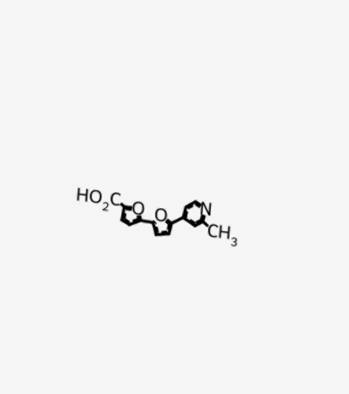 Cc1cc(-c2ccc(-c3ccc(C(=O)O)o3)o2)ccn1